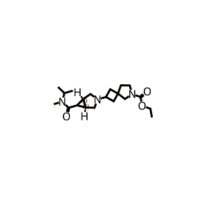 CCOC(=O)N1CCC2(CC(N3C[C@@H]4C(C(=O)N(C)C(C)C)[C@@H]4C3)C2)C1